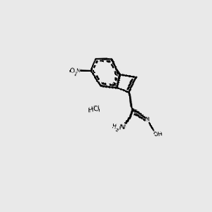 Cl.NC(=NO)C1=Cc2ccc([N+](=O)[O-])cc21